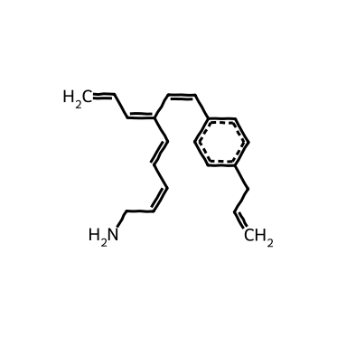 C=C/C=C(\C=C/c1ccc(CC=C)cc1)/C=C/C=C\CN